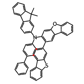 CC1(C)c2ccccc2-c2ccc(N(c3ccc(-c4ccccc4)cc3)c3cc4oc5ccccc5c4cc3-c3ccc4c(c3)sc3ccccc34)cc21